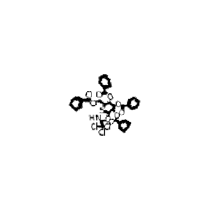 N=C(O[C@H]1SC(COC(=O)c2ccccc2)[C@@H](OC(=O)c2ccccc2)[C@H](OC(=O)c2ccccc2)C1OC(=O)c1ccccc1)C(Cl)(Cl)Cl